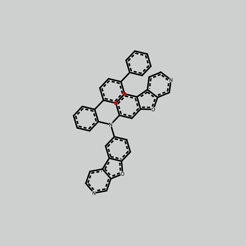 c1ccc(-c2ccc(-c3ccccc3N(c3ccc4c(c3)oc3cnccc34)c3ccc4oc5cnccc5c4c3)cc2)cc1